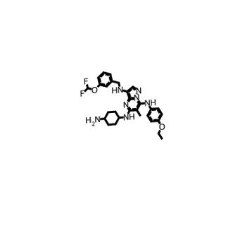 CCOc1ccc(Nc2c(C)c(NC3CCC(N)CC3)nc3c(NCc4cccc(OC(F)F)c4)cnn23)cc1